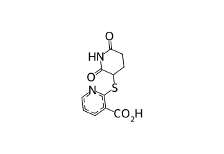 O=C1CCC(Sc2ncccc2C(=O)O)C(=O)N1